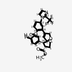 COC(=O)[C@H]1CC[C@@]2(C=C(c3cc(-n4ccnc4C(F)(F)F)ccc3OC)CO2)[C@@H]1c1ccc(F)cc1